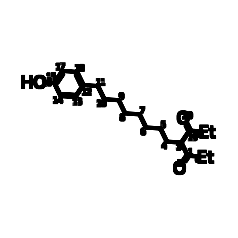 CCC(=O)C(CCCCCCCCc1ccc(O)cc1)C(=O)CC